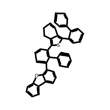 c1cccc(-c2c(-c3sc(-c4ccccc4-c4ccccc4)c4c3CCC=C4)cccc2-c2cccc3c2oc2ccccc23)c#1